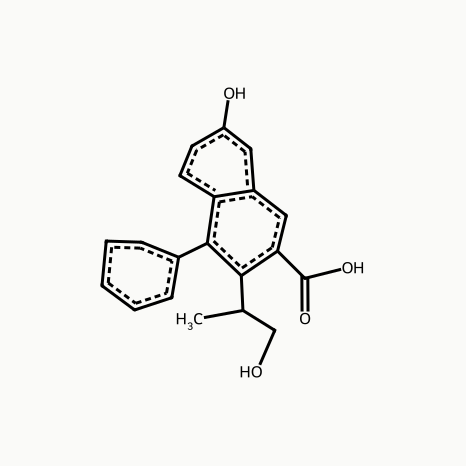 CC(CO)c1c(C(=O)O)cc2cc(O)ccc2c1-c1ccccc1